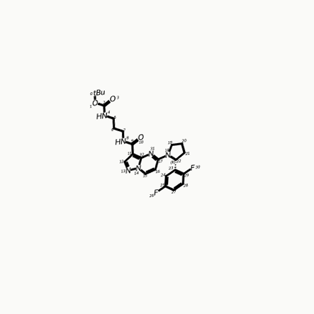 CC(C)(C)OC(=O)NCCCNC(=O)c1cnn2ccc(N3CCC[C@@H]3c3cc(F)ccc3F)nc12